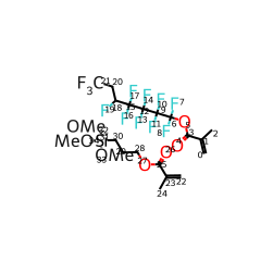 C=C(C)C(=O)OC(F)(F)C(F)(F)C(F)(F)C(F)(F)C(F)CC(F)(F)F.C=C(C)C(=O)OCCC[Si](OC)(OC)OC